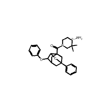 CC1(C)CN(C(=O)C23CC4CC(c5ccccc5)(CC2C4Oc2ccccc2)C3)CC[C@@H]1N